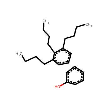 CCCCc1cccc(CCCC)c1CCCC.Oc1ccccc1